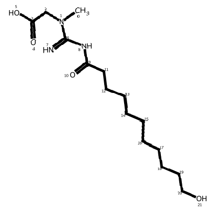 CN(CC(=O)O)C(=N)NC(=O)CCCCCCCCCCO